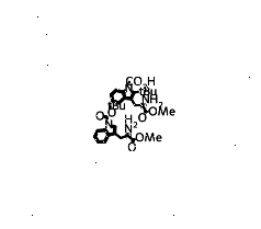 COC(=O)[C@H](N)Cc1c(C(C)(C)C)n(C(=O)O)c2ccccc12.COC(=O)[C@H](N)Cc1cn(C(=O)OC(C)(C)C)c2ccccc12